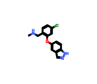 CNCc1ccc(Cl)cc1Oc1ccc2[nH]ncc2c1